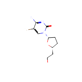 Nc1nc(=O)n([C@H]2CC[C@@H](CCO)O2)cc1Br